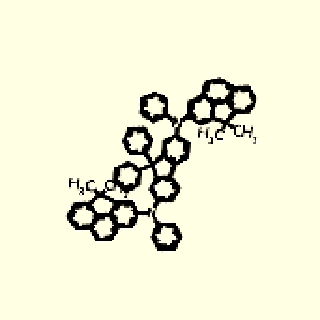 CC1(C)c2cccc3ccc4cc(N(c5ccccc5)c5ccc6c(c5)C(c5ccccc5)(c5ccccc5)c5cc(N(c7ccccc7)c7cc8c9c(ccc%10cccc(c%109)C8(C)C)c7)ccc5-6)cc1c4c23